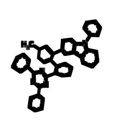 CC1C=C(c2ccc3c(c2)c2ccccc2n3-c2ccccc2)C(c2ccccc2-c2nc(-c3ccccc3)nc(-c3ccccc3)n2)=CC1